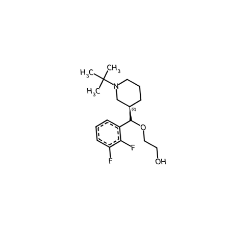 CC(C)(C)N1CCC[C@@H](C(OCCO)c2cccc(F)c2F)C1